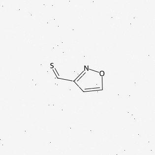 S=[C]c1ccon1